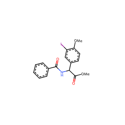 COC(=O)C(NC(=O)c1ccccc1)c1ccc(OC)c(I)c1